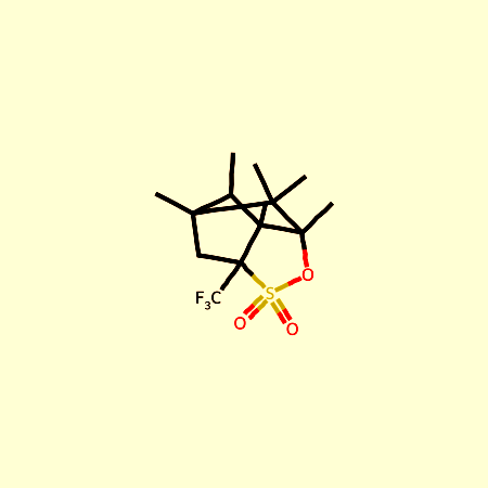 CC1C2(C)CC3(C(F)(F)F)C1(C)C(C)(OS3(=O)=O)C2(C)C